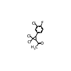 CC(=O)C1C(c2ccc(F)c(Cl)c2)C1(Cl)Cl